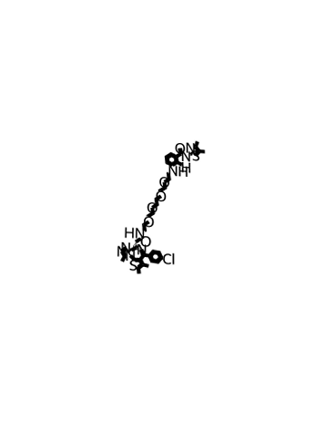 Cc1nc(NC(=O)c2cccc(NCCOCCOCCOCCOCCNC(=O)C[C@@H]3N=C(c4ccc(Cl)cc4)c4c(sc(C)c4C)-n4c(C)nnc43)c2C)sc1C